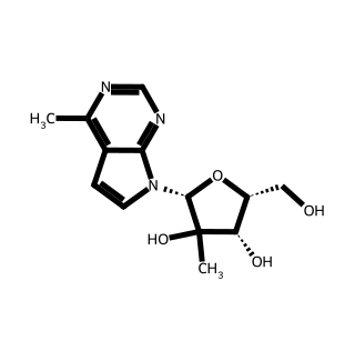 Cc1ncnc2c1ccn2[C@@H]1O[C@H](CO)[C@H](O)C1(C)O